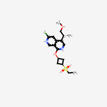 CCS(=O)(=O)[C@H]1C[C@@H](Oc2ncc([C@@H](C)COC)c3cc(Cl)ncc23)C1